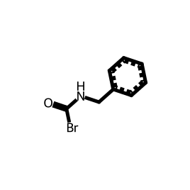 O=C(Br)NCc1ccccc1